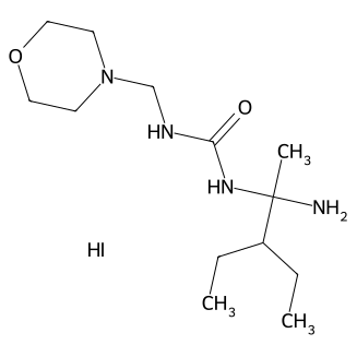 CCC(CC)C(C)(N)NC(=O)NCN1CCOCC1.I